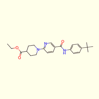 CCOC(=O)C1CCN(c2ccc(C(=O)Nc3ccc(C(C)(C)C)cc3)cn2)CC1